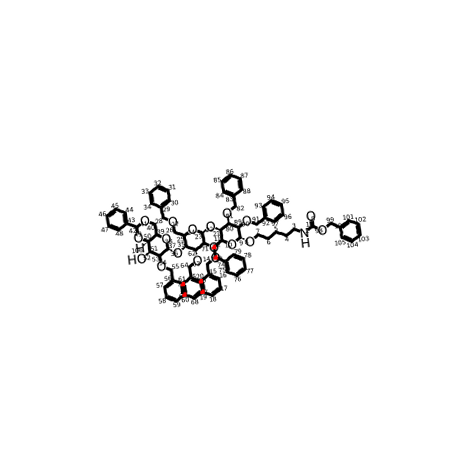 O=C(NCCCCCO[C@@H]1OC(COCc2ccccc2)[C@@H](O[C@@H]2OC(COCc3ccccc3)[C@H](O[C@H]3OC4COC(c5ccccc5)O[C@@H]4[C@H](O)C3OCc3ccccc3)[C@@H](OCc3ccccc3)C2OCc2ccccc2)[C@@H](OCc2ccccc2)C1OCc1ccccc1)OCc1ccccc1